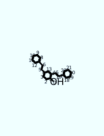 Oc1ccc(/C=C/c2ccccc2)cc1/C=C/c1ccccc1